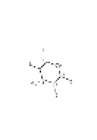 CC1[C@H](C)OC(C)[C@H](C)[C@@H]1C